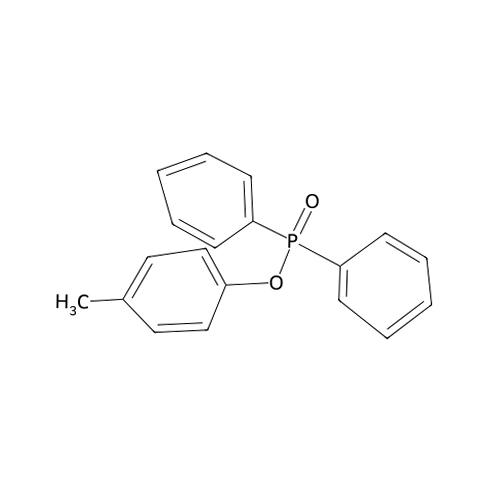 Cc1ccc(OP(=O)(c2ccccc2)c2ccccc2)cc1